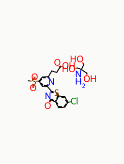 CS(=O)(=O)c1cc(CCC(=O)O)nc(-c2nc(=O)c3ccc(Cl)cc3s2)c1.NC(CO)(CO)CO